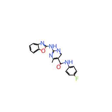 Cc1nc(Nc2nc3ccccc3o2)ncc1C(=O)Nc1ccc(F)cc1